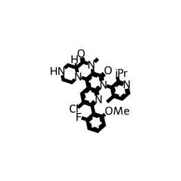 COc1cccc(F)c1-c1nc2c(cc1Cl)c1c(c(=O)n2-c2c(C)ccnc2C(C)C)N(C)C(=O)[C@H]2CNCCN12